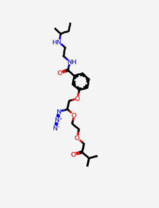 CCC(C)NCCNC(=O)c1cccc(OCC(N=[N+]=[N-])OCCOCC(=O)C(C)C)c1